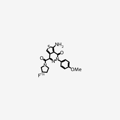 COc1ccc(-n2nc(C(=O)N3CC[C@H](F)C3)c3csc(N)c3c2=O)cc1